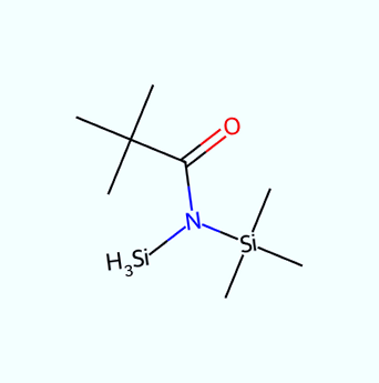 CC(C)(C)C(=O)N([SiH3])[Si](C)(C)C